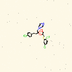 Clc1ccc(CCC2(Cn3ccnc3)OCC(CSc3cc(Cl)ccc3Cl)O2)cc1